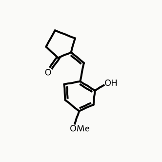 COc1ccc(/C=C2/CCCC2=O)c(O)c1